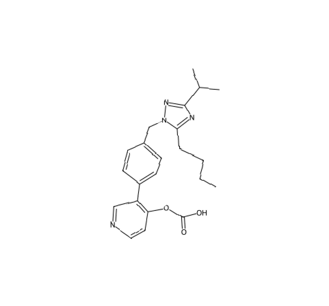 CCCCc1nc(C(C)C)nn1Cc1ccc(-c2cnccc2OC(=O)O)cc1